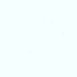 CC1(C)CNCc2c(-c3ccncc3)c(-c3ccc(F)cc3)nn21.[Cl-].[H+]